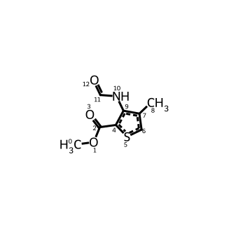 COC(=O)c1scc(C)c1NC=O